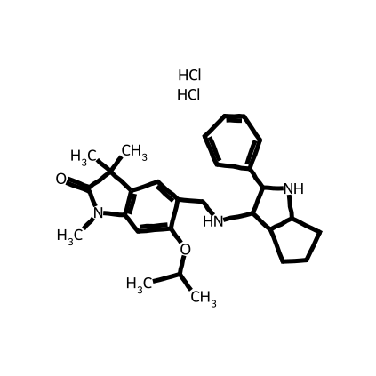 CC(C)Oc1cc2c(cc1CNC1C(c3ccccc3)NC3CCCC31)C(C)(C)C(=O)N2C.Cl.Cl